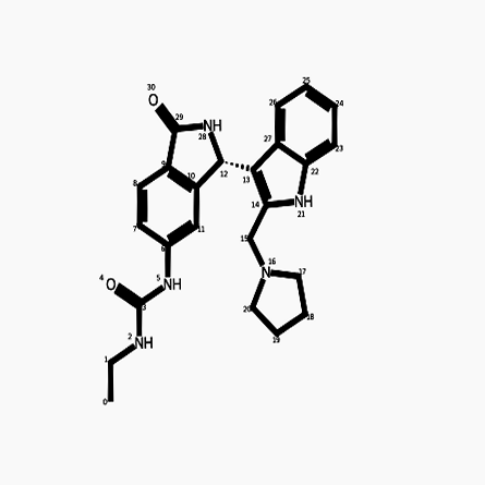 CCNC(=O)Nc1ccc2c(c1)[C@@H](c1c(CN3CCCC3)[nH]c3ccccc13)NC2=O